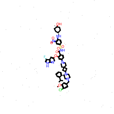 COc1cc(CN2CCN(C3CC4(CCN(c5ccc(C(=O)NS(=O)(=O)c6ccc(NC[C@H]7CC[C@](C)(O)CC7)c([N+](=O)[O-])c6)c(Oc6cnc7[nH]cc(F)c7c6)c5)CC4)C3)[C@H](c3ccccc3C(C)C)C2)ccc1Cl